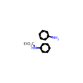 CCOC(=O)Nc1ccccc1.Nc1ccccc1